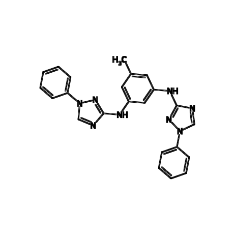 Cc1cc(Nc2ncn(-c3ccccc3)n2)cc(Nc2ncn(-c3ccccc3)n2)c1